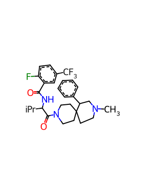 CC(C)C(NC(=O)c1cc(C(F)(F)F)ccc1F)C(=O)N1CCC2(CCN(C)CC2c2ccccc2)CC1